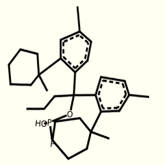 CCCC(OP(O)F)(c1ccc(C)cc1C1(C)CCCCC1)c1ccc(C)cc1C1(C)CCCCC1